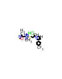 Cc1ncoc1-c1nnc(SCCC(C)N2C[C@@H]3C[C@]3(c3ccc(C(F)(F)F)cc3)C2)n1C.Cl